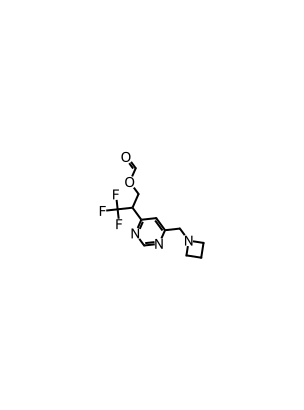 O=COCC(c1cc(CN2CCC2)ncn1)C(F)(F)F